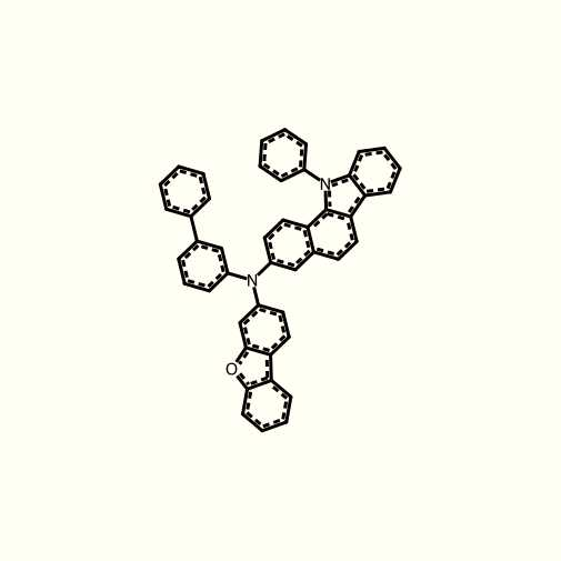 c1ccc(-c2cccc(N(c3ccc4c(ccc5c6ccccc6n(-c6ccccc6)c45)c3)c3ccc4c(c3)oc3ccccc34)c2)cc1